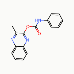 Cc1nc2ccccc2nc1OC(=O)Nc1ccccc1